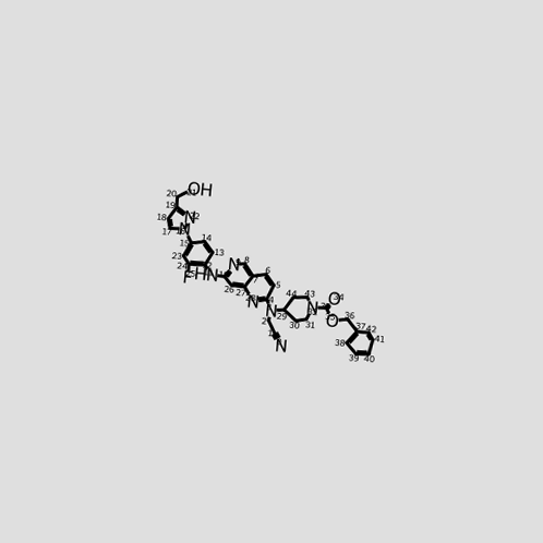 N#CCN(c1ccc2cnc(Nc3ccc(-n4ccc(CO)n4)cc3F)cc2n1)C1CCN(C(=O)OCc2ccccc2)CC1